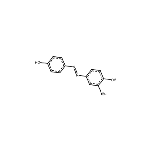 CC(C)(C)c1cc(N=Nc2ccc(O)cc2)ccc1O